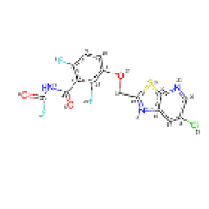 O=C(F)NC(=O)c1c(F)ccc(OCc2nc3cc(Cl)cnc3s2)c1F